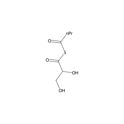 CCCC(=O)SC(=O)C(O)CO